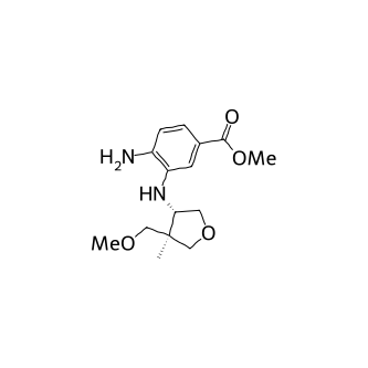 COC[C@]1(C)COC[C@H]1Nc1cc(C(=O)OC)ccc1N